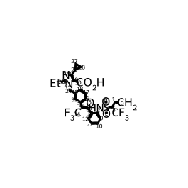 C=CC(C(F)(F)F)S(=O)(=O)Nc1ccccc1-c1oc2ccc(Cn3c(CC)nc(C4CC4)c3C(=O)O)cc2c1C(F)(F)F